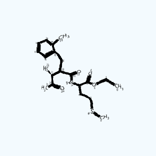 CCOC(=O)C(CCSC)NC(=O)C(Cc1ccccc1C)[C@H](S)C(C)=O